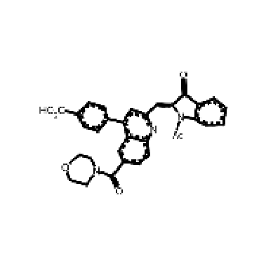 CC(=O)N1/C(=C\c2cc(-c3ccc(C(=O)O)cc3)c3cc(C(=O)N4CCOCC4)ccc3n2)C(=O)c2ccccc21